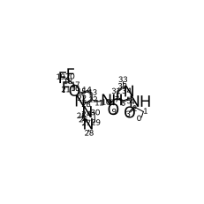 CCC(=O)Nc1cc(C(=O)NCc2ccc(OCC(F)(F)F)nc2N2CCN(C)CC2)cc(C)n1